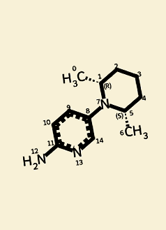 C[C@@H]1CCC[C@H](C)N1c1ccc(N)nc1